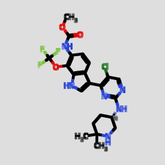 COC(=O)Nc1ccc2c(-c3nc(N[C@H]4CCC(C)(C)NC4)ncc3Cl)c[nH]c2c1OC(F)(F)F